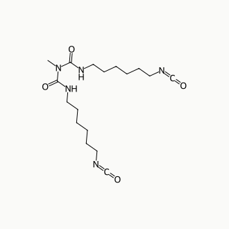 CN(C(=O)NCCCCCCN=C=O)C(=O)NCCCCCCN=C=O